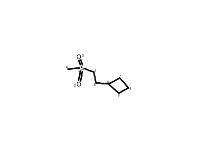 CS(=O)(=O)CCC1CCC1